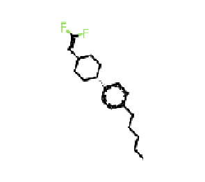 CCCCCc1ccc([C@H]2CC[C@H](C=C(F)F)CC2)cc1